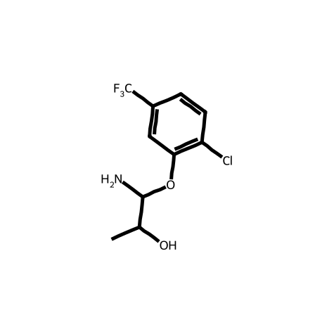 CC(O)C(N)Oc1cc(C(F)(F)F)ccc1Cl